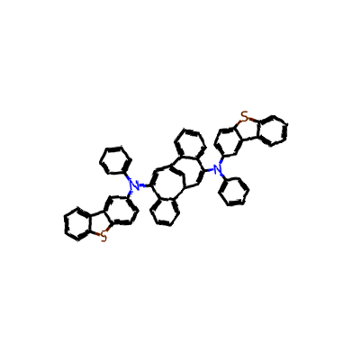 C1=C2C=C(N(c3ccccc3)c3ccc4sc5ccccc5c4c3)c3ccccc3C1C=C(N(c1ccccc1)c1ccc3sc4ccccc4c3c1)c1ccccc12